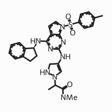 CNC(=O)C(C)N1C=C(Nc2nc(N[C@H]3CCc4ccccc43)c3ccn(S(=O)(=O)c4ccc(C)cc4)c3n2)CN1